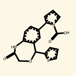 O=C1COC(c2cccs2)c2cc(-c3cccn3C(=O)O)ccc2N1